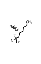 CCCCCO[Si]([O-])([O-])[O-].[Na+].[Na+].[Na+]